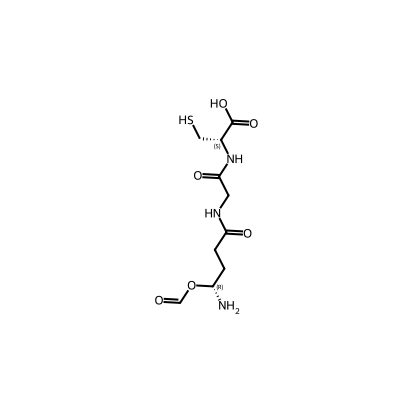 N[C@@H](CCC(=O)NCC(=O)N[C@H](CS)C(=O)O)OC=O